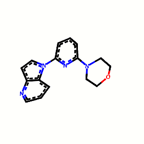 c1cc(N2CCOCC2)nc(-n2ccc3ncccc32)c1